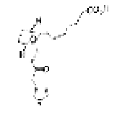 O=C(O)CCC/C=C\C[C@H]1[C@H](/C=C/C(=O)Cc2ccsc2)[C@@H]2CC[C@H]1O2